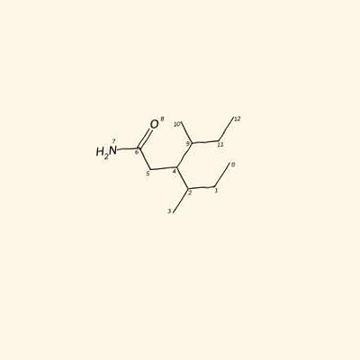 CCC(C)C(CC(N)=O)C(C)CC